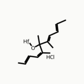 CC=CC=C(C)C(C)([O][Hf])C(C)=CC=CC.Cl